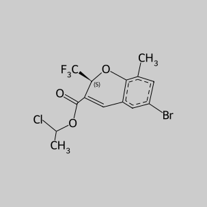 Cc1cc(Br)cc2c1O[C@H](C(F)(F)F)C(C(=O)OC(C)Cl)=C2